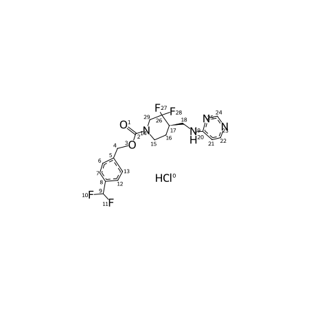 Cl.O=C(OCc1ccc(C(F)F)cc1)N1CC[C@H](CNc2ccncn2)C(F)(F)C1